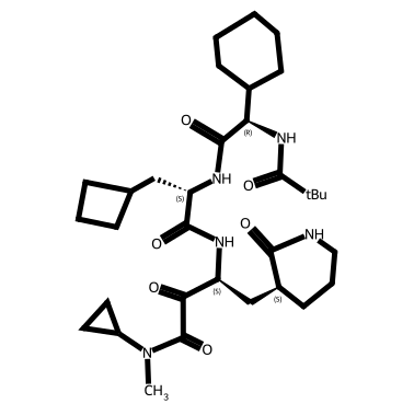 CN(C(=O)C(=O)[C@H](C[C@@H]1CCCNC1=O)NC(=O)[C@H](CC1CCC1)NC(=O)[C@H](NC(=O)C(C)(C)C)C1CCCCC1)C1CC1